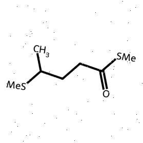 CSC(=O)CCC(C)SC